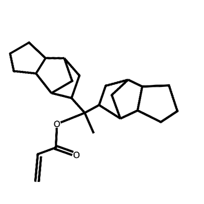 C=CC(=O)OC(C)(C1CC2CC1C1CCCC21)C1CC2CC1C1CCCC21